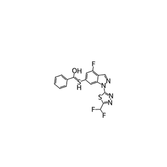 OC(=[SH]c1cc(F)c2cnn(-c3nnc(C(F)F)s3)c2c1)c1ccccc1